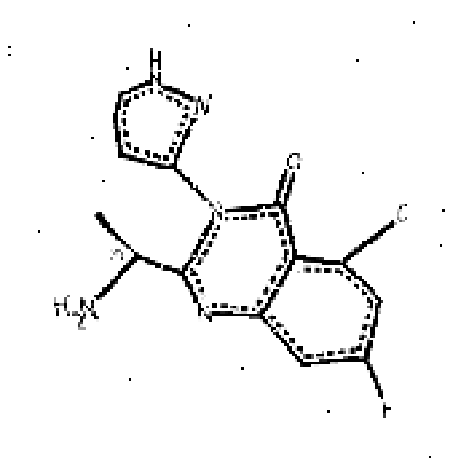 C[C@H](N)c1nc2cc(F)cc(Cl)c2c(=O)n1-c1cc[nH]n1